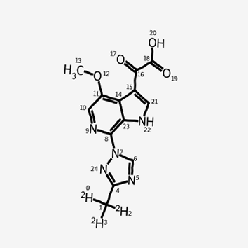 [2H]C([2H])([2H])c1ncn(-c2ncc(OC)c3c(C(=O)C(=O)O)c[nH]c23)n1